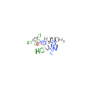 CN(C)c1ccnc(NC2CCC(CNC(=O)Cc3c(Cl)ccc(Cl)c3Cl)CC2)n1.Cl